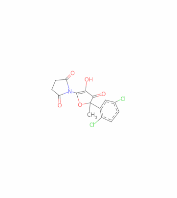 CC1(c2cc(Cl)ccc2Cl)OC(N2C(=O)CCC2=O)=C(O)C1=O